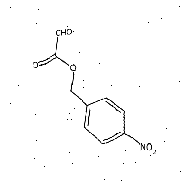 O=[C]C(=O)OCc1ccc([N+](=O)[O-])cc1